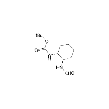 CC(C)(C)OC(=O)NC1CCCCC1NC=O